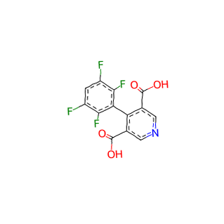 O=C(O)c1cncc(C(=O)O)c1-c1c(F)c(F)cc(F)c1F